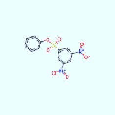 O=[N+]([O-])c1cc([N+](=O)[O-])cc(S(=O)(=O)Oc2ccccc2)c1